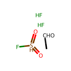 CC=O.F.F.O=[SH](=O)F